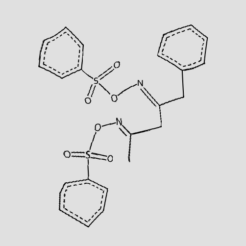 CC(CC(Cc1ccccc1)=NOS(=O)(=O)c1ccccc1)=NOS(=O)(=O)c1ccccc1